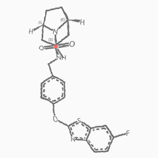 CS(=O)(=O)N1[C@@H]2CC[C@H]1C[C@H](NCc1ccc(Oc3nc4ccc(F)cc4s3)cc1)C2